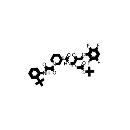 CC(C)(C)OC(=O)C[C@H](NC(=O)[C@H]1CCCN(C(=O)C(=O)Nc2ccccc2C(C)(C)C)C1)C(=O)COc1c(F)c(F)cc(F)c1F